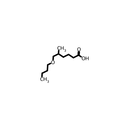 CCCCOCC(C)CCCC(=O)O